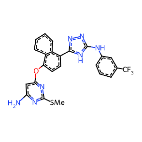 CSc1nc(N)cc(Oc2ccc(-c3nnc(Nc4cccc(C(F)(F)F)c4)[nH]3)c3ccccc23)n1